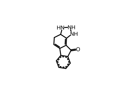 O=C1C2=C3NNNC3CC=C2c2ccccc21